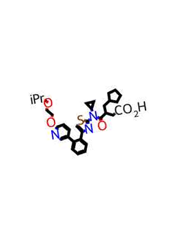 CC(C)OCCOc1ccc(-c2ccccc2-c2csc(N(C(=O)C(CC(=O)O)CC3CCCC3)C3CC3)n2)cn1